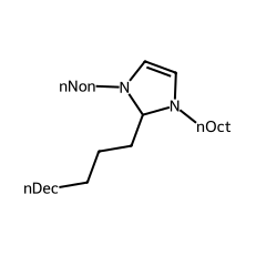 CCCCCCCCCCCCCC1N(CCCCCCCC)C=CN1CCCCCCCCC